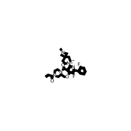 C=CC(=O)N1CCN2C(=O)c3c(N4CCC5(C[C@@H]4C)CN(C)C5)nc(-c4ccccc4F)c(F)c3OCC2C1